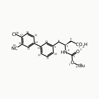 CC(C)(C)OC(=O)N[C@H](CC(=O)O)Cc1cccc(-c2ccc(Cl)c(C#N)c2)c1